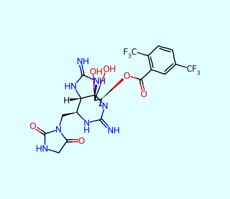 N=C1N[C@H]2[C@H](CN3C(=O)CNC3=O)NC(=N)N3C[C@H](OC(=O)c4cc(C(F)(F)F)ccc4C(F)(F)F)C(O)(O)[C@]23N1